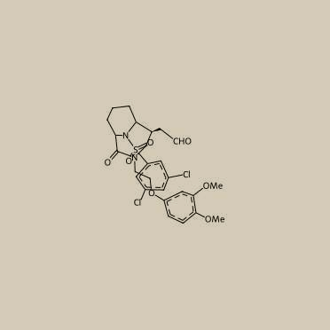 COc1ccc(OCCN2C[C@H](CC=O)C3CCCC(C2=O)N3S(=O)(=O)c2cc(Cl)cc(Cl)c2)cc1OC